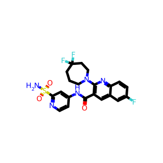 NS(=O)(=O)c1cc(NC(=O)c2cc3cc(F)ccc3nc2N2CCCC(F)(F)CC2)ccn1